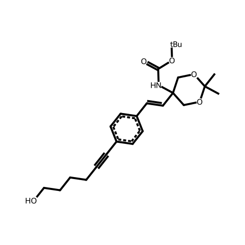 CC(C)(C)OC(=O)NC1(C=Cc2ccc(C#CCCCCO)cc2)COC(C)(C)OC1